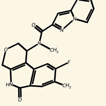 Cc1cc2c(=O)[nH]c3c(c2cc1F)C(N(C)C(=O)c1cc2ccccn2n1)COC3